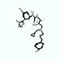 CCc1cc(NC(=O)N[C@H](C)[C@H](O)CN(CCCc2ccc(F)cc2)CC2CC2)cc(-c2nnnn2C)c1